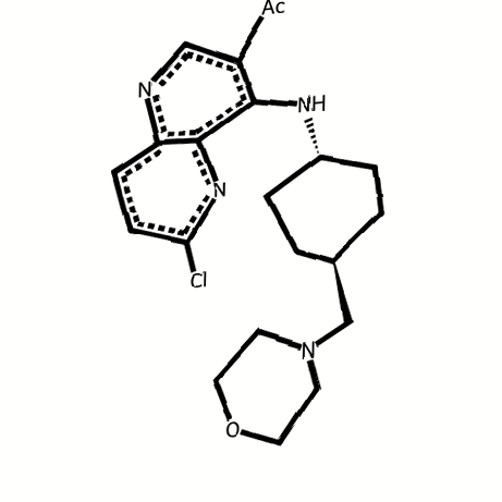 CC(=O)c1cnc2ccc(Cl)nc2c1N[C@H]1CC[C@H](CN2CCOCC2)CC1